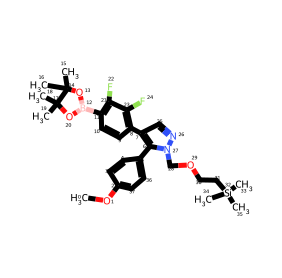 COc1ccc(-c2c(-c3ccc(B4OC(C)(C)C(C)(C)O4)c(F)c3F)cnn2COCC[Si](C)(C)C)cc1